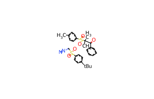 CC(C)(C)c1ccc(S(=O)(=O)C=[N+]=[N-])cc1.Cc1ccc(S(=O)(=O)C(C)(C)C(=O)c2ccccc2)cc1